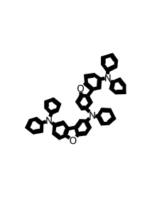 c1ccc(N(c2ccccc2)c2ccc3oc4ccc(N(c5ccccc5)c5ccc6oc7ccc(N(c8ccccc8)c8ccccc8)cc7c6c5)cc4c3c2)cc1